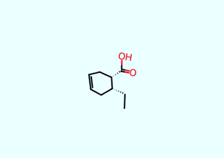 CC[C@@H]1CC=CC[C@@H]1C(=O)O